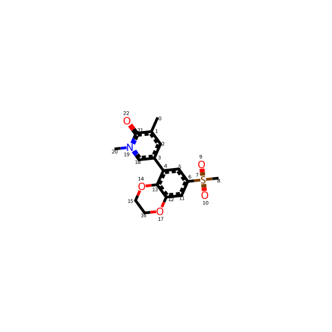 Cc1cc(-c2cc(S(C)(=O)=O)cc3c2OCCO3)cn(C)c1=O